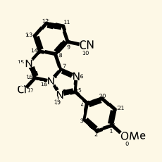 COc1ccc(-c2nc3c4c(C#N)cccc4nc(Cl)n3n2)cc1